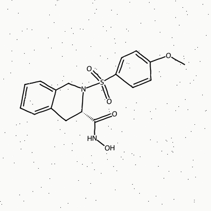 COc1ccc(S(=O)(=O)N2Cc3ccccc3C[C@H]2C(=O)NO)cc1